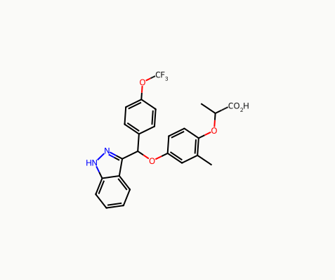 Cc1cc(OC(c2ccc(OC(F)(F)F)cc2)c2n[nH]c3ccccc23)ccc1OC(C)C(=O)O